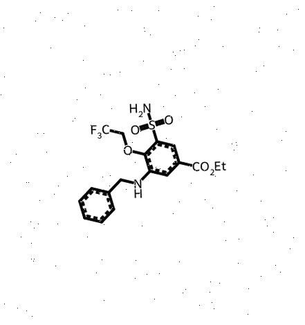 CCOC(=O)c1cc(NCc2ccccc2)c(OCC(F)(F)F)c(S(N)(=O)=O)c1